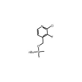 CCCC[Si](C)(C)OCc1ccnc(Cl)c1F